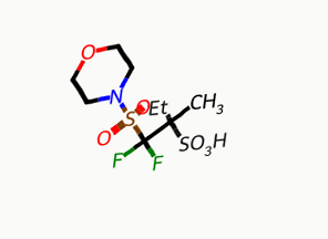 CCC(C)(C(F)(F)S(=O)(=O)N1CCOCC1)S(=O)(=O)O